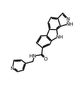 O=C(NCc1ccncc1)c1ccc2c(c1)[nH]c1c2ccc2cn[nH]c21